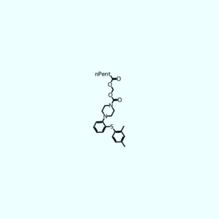 CCCCCC(=O)OCOC(=O)N1CCN(c2ccccc2Sc2ccc(C)cc2C)CC1